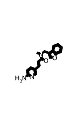 CN(Cc1coc2ccccc12)C(=O)C=Cc1ccc(N)nc1